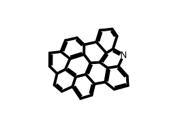 C1=CC2C=Cc3ccc4c5cccc6nc7cccc8c9ccc1c1c2c3c4c(c19)c(c78)c65